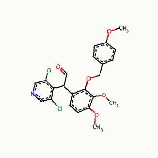 COc1ccc(COc2c(C(C=O)c3c(Cl)cncc3Cl)ccc(OC)c2OC)cc1